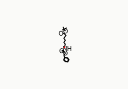 CC(C)(C)OC(=O)CCCCCCNC(=O)OCc1ccccc1